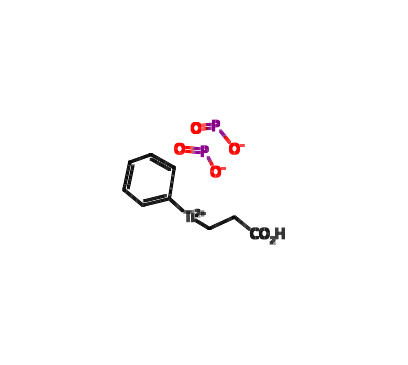 O=C(O)C[CH2][Ti+2][c]1ccccc1.O=P[O-].O=P[O-]